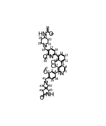 COc1cc(-c2nccc(-c3cccc(-c4ccc(CN5CCC(NC(C)=O)CC5)c(OC)n4)c3Cl)c2Cl)ccc1CN1CC2(CNC(=O)C2)C1